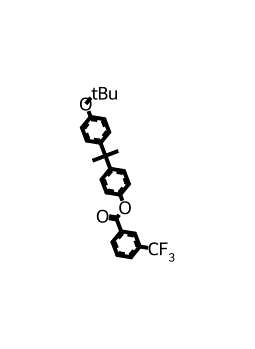 CC(C)(C)Oc1ccc(C(C)(C)c2ccc(OC(=O)c3cccc(C(F)(F)F)c3)cc2)cc1